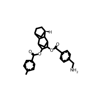 Cc1ccc(C(=O)OC2C3CC(C2OC(=O)c2ccc(CN)cc2)C2C3C3CC[C@H]2C3)cc1